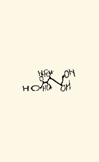 OCC(O)C(O)C(O)C(O)CO.[Cu]